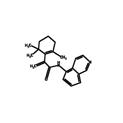 C=C(C(=O)Nc1cccc2cnccc12)C1=C(C)CCCC1(C)C